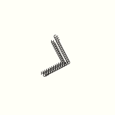 O.O.O.O.O.O.O.O.O.O.O.O.O.O.O.O.O.O.O.O.O.O.O.O.O.[Cr].[Cr].[Cr].[Cr].[Cr]